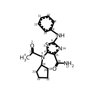 CC(=O)N(c1sc(Nc2ccccc2)nc1C(N)=O)C1CCCC1